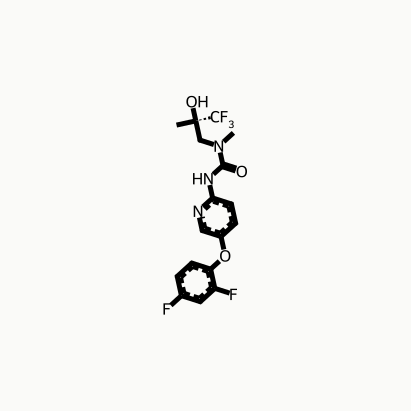 CN(C[C@@](C)(O)C(F)(F)F)C(=O)Nc1ccc(Oc2ccc(F)cc2F)cn1